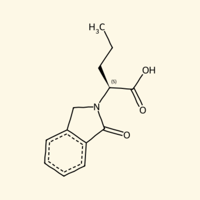 CCC[C@@H](C(=O)O)N1Cc2ccccc2C1=O